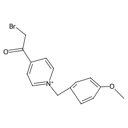 COc1ccc(C[n+]2ccc(C(=O)CBr)cc2)cc1